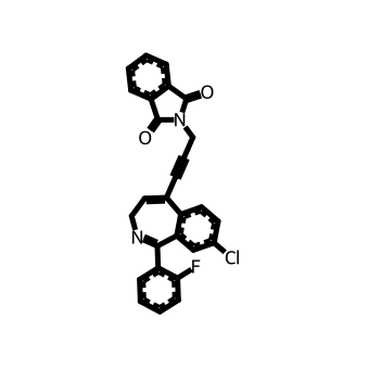 O=C1c2ccccc2C(=O)N1CC#CC1=CCN=C(c2ccccc2F)c2cc(Cl)ccc21